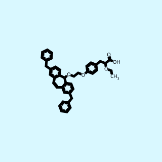 CCOC(Cc1ccc(OCCOC2c3ccc(Cc4ccccc4)cc3C=Cc3cc(Cc4ccccc4)ccc32)cc1)C(=O)O